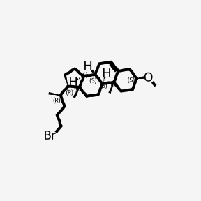 CO[C@H]1CC[C@@]2(C)C(=CC[C@H]3[C@@H]4CC[C@H]([C@H](C)CCCBr)[C@@]4(C)CC[C@@H]32)C1